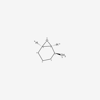 C[C@H]1CCC[C@H]2O[C@@H]12